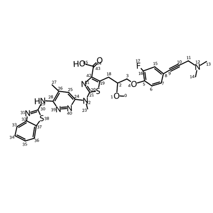 COC(COc1ccc(C#CCN(C)C)cc1F)Cc1sc(N(C)c2cc(C)c(Nc3nc4ccccc4s3)nn2)nc1C(=O)O